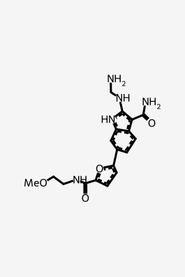 COCCNC(=O)c1ccc(-c2ccc3c(C(N)=O)c(NCN)[nH]c3c2)o1